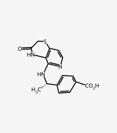 C[C@H](Nc1nccc2c1NC(=O)CS2)c1ccc(C(=O)O)cc1